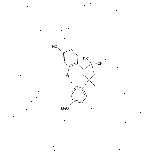 COc1ccc(C(C)(C)CC(O)(Cc2ccc(C#N)cc2Cl)C(F)(F)F)cc1